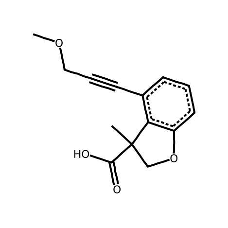 COCC#Cc1cccc2c1C(C)(C(=O)O)CO2